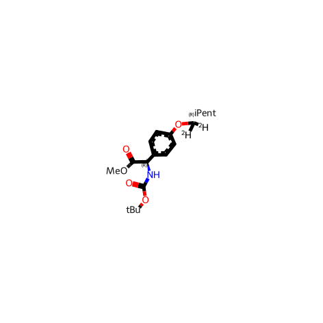 [2H]C([2H])(Oc1ccc([C@@H](NC(=O)OC(C)(C)C)C(=O)OC)cc1)[C@H](C)CCC